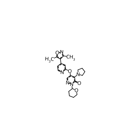 Cc1noc(C)c1-c1ccnc(Oc2cnn(C3CCCCO3)c(=O)c2N2CCCC2)c1